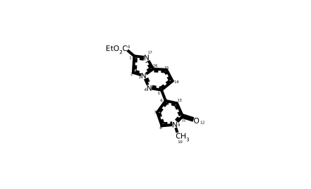 CCOC(=O)c1cn2nc(-c3ccn(C)c(=O)c3)ccc2n1